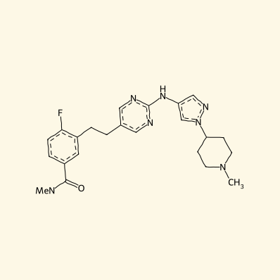 CNC(=O)c1ccc(F)c(CCc2cnc(Nc3cnn(C4CCN(C)CC4)c3)nc2)c1